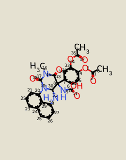 CC(=O)Oc1ccc(C2(NC(=O)O)C(=O)N(C)C(=O)N(c3cccc4ccccc34)C2N)cc1OC(C)=O